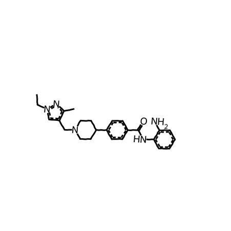 CCn1cc(CN2CCC(c3ccc(C(=O)Nc4ccccc4N)cc3)CC2)c(C)n1